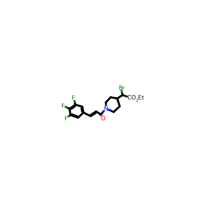 CCOC(=O)C(Br)C1CCN(C(=O)C=Cc2cc(F)c(F)c(F)c2)CC1